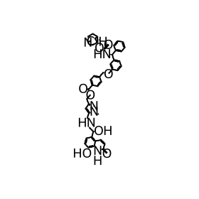 Cn1nc(COC(=O)c2ccc(COc3cccc([C@@H](NC(=O)O[C@H]4CN5CCC4CC5)c4ccccc4)c3)cc2)cc1CNC[C@H](O)c1ccc(O)c2[nH]c(=O)ccc12